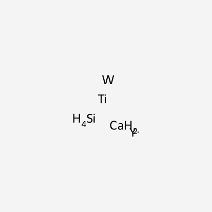 [CaH2].[SiH4].[Ti].[W].[Y]